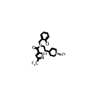 CCCN1CCC(CCN(Cc2ccccc2Cl)C(=O)c2cc(C(F)(F)F)n[nH]2)CC1